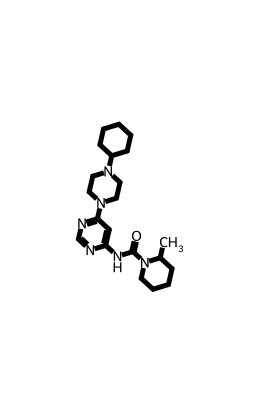 CC1CCCCN1C(=O)Nc1cc(N2CCN(C3CCCCC3)CC2)ncn1